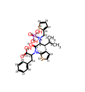 CC(C)CC(C(=O)N(c1cccs1)C(Cc1ccccc1)C(=O)O)N(Cc1cccs1)P(=O)(O)O